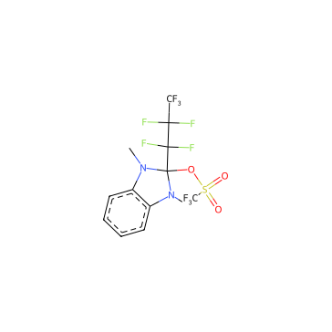 CN1c2ccccc2N(C)C1(OS(=O)(=O)C(F)(F)F)C(F)(F)C(F)(F)C(F)(F)F